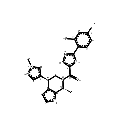 C[C@@H]1c2sccc2[C@@H](c2cnn(C)c2)CN1C(=O)c1nnc(-c2ccc(F)cc2F)s1